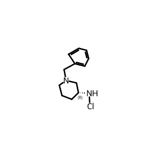 ClN[C@@H]1CCCN(Cc2ccccc2)C1